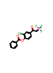 O=C(C=P(F)(F)F)c1ccc(OC(=O)c2ccccc2)c(Cl)c1